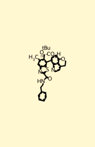 Cc1cc2nc(C(=O)NCCc3ccccc3)sc2c(-c2ccc3c4c(ccnc24)CCO3)c1[C@H](OC(C)(C)C)C(=O)O